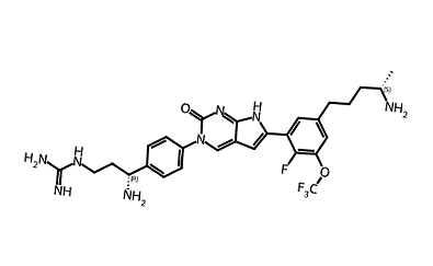 C[C@H](N)CCCc1cc(OC(F)(F)F)c(F)c(-c2cc3cn(-c4ccc([C@H](N)CCNC(=N)N)cc4)c(=O)nc3[nH]2)c1